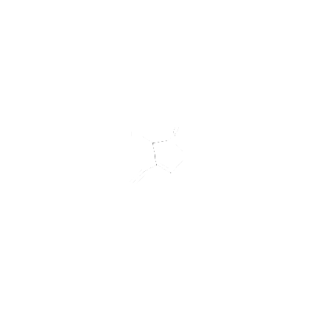 C#CC1=COS(=O)C1C